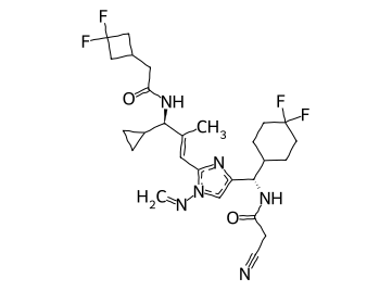 C=Nn1cc([C@@H](NC(=O)CC#N)C2CCC(F)(F)CC2)nc1/C=C(\C)[C@H](NC(=O)CC1CC(F)(F)C1)C1CC1